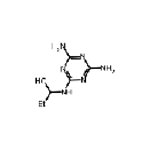 CCC(O)Nc1nc(N)nc(N)n1